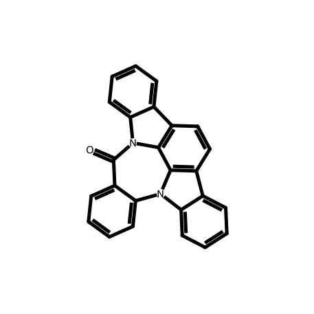 O=c1c2ccccc2n2c3ccccc3c3ccc4c5ccccc5n1c4c32